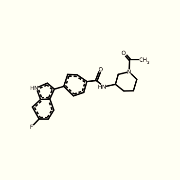 CC(=O)N1CCCC(NC(=O)c2ccc(-c3c[nH]c4cc(F)ccc34)cc2)C1